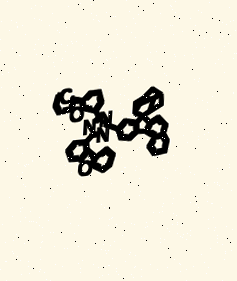 c1ccc2c3c(ccc2c1)C1(c2cc(-c4nc(-c5cccc6c5oc5ccccc56)nc(-c5cccc6oc7ccccc7c56)n4)ccc2-3)C2CC3CC(C2)CC1C3